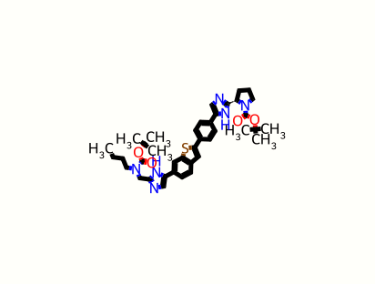 CCCCN(Cc1ncc(-c2ccc3cc(-c4ccc(-c5cnc([C@@H]6CCCN6C(=O)OC(C)(C)C)[nH]5)cc4)sc3c2)[nH]1)C(=O)OC(C)(C)C